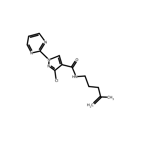 C=C(C)CCCNC(=O)c1cn(-c2ncccn2)nc1Cl